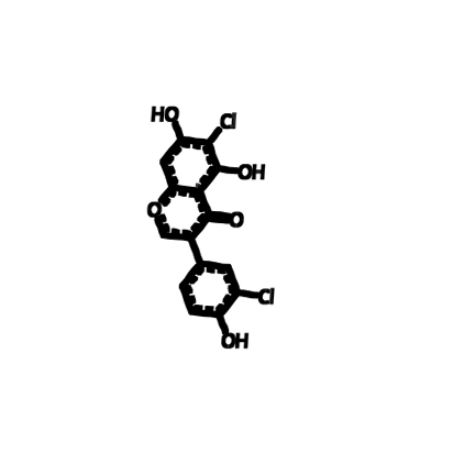 O=c1c(-c2ccc(O)c(Cl)c2)coc2cc(O)c(Cl)c(O)c12